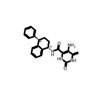 C=C1NC(=O)NC(C(=O)N[C@H]2CC[C@H](c3ccccc3)c3ccccc32)=C1N